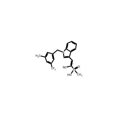 Cc1cc(Cn2cc(/C=C(\C#N)P(C)(=O)O)c3ccccc32)cc(C(F)(F)F)c1